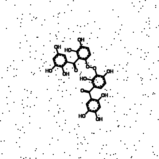 O=C(c1cc(O)c(O)cc1O)c1ccc(O)c(OOc2ccc(O)c(O)c2C(=O)c2cc(O)cc(O)c2O)c1O